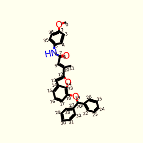 COc1ccc(NC(=O)/C=C(\C)c2cc3cccc(OC(c4ccccc4)c4ccccc4)c3o2)cc1